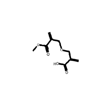 C=C(COCC(=C)C(=O)OC)C(=O)O